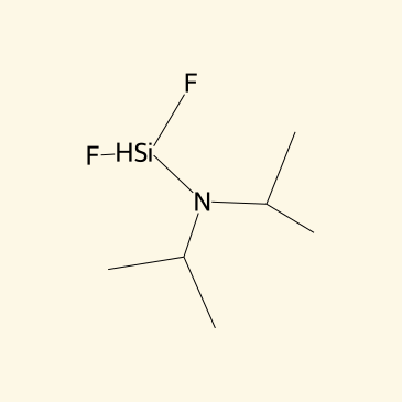 CC(C)N(C(C)C)[SiH](F)F